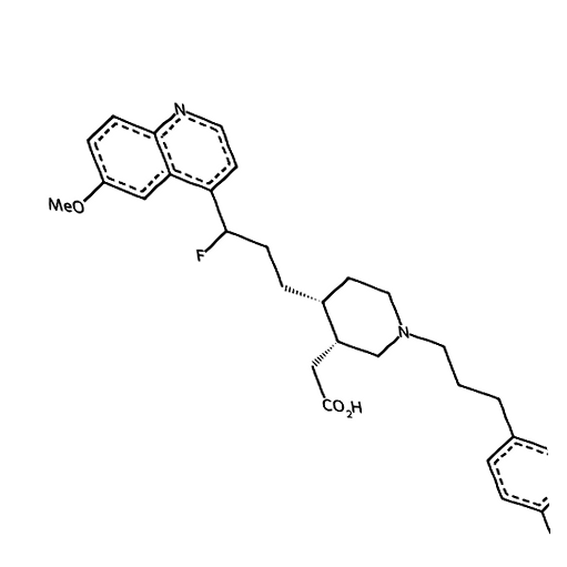 COc1ccc(CCCN2CC[C@@H](CCC(F)c3ccnc4ccc(OC)cc34)[C@@H](CC(=O)O)C2)cc1